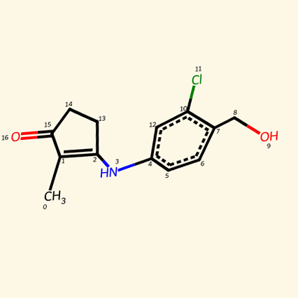 CC1=C(Nc2ccc(CO)c(Cl)c2)CCC1=O